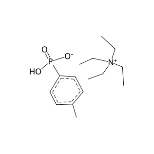 CC[N+](CC)(CC)CC.Cc1ccc(P(=O)([O-])O)cc1